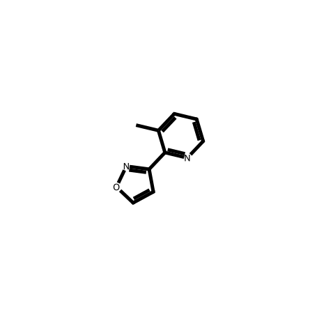 Cc1cccnc1-c1ccon1